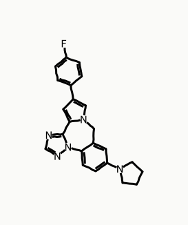 Fc1ccc(-c2cc3n(c2)Cc2cc(N4CCCC4)ccc2-n2ncnc2-3)cc1